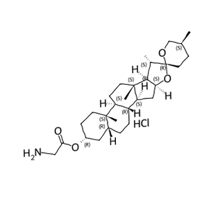 C[C@H]1CC[C@@]2(OC1)O[C@H]1C[C@H]3[C@@H]4CC[C@@H]5C[C@H](OC(=O)CN)CC[C@]5(C)[C@H]4CC[C@]3(C)[C@H]1[C@@H]2C.Cl